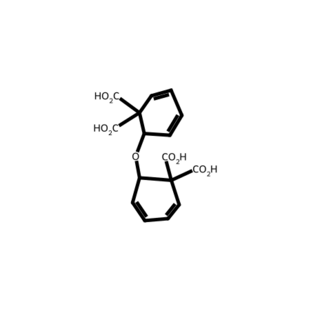 O=C(O)C1(C(=O)O)C=CC=CC1OC1C=CC=CC1(C(=O)O)C(=O)O